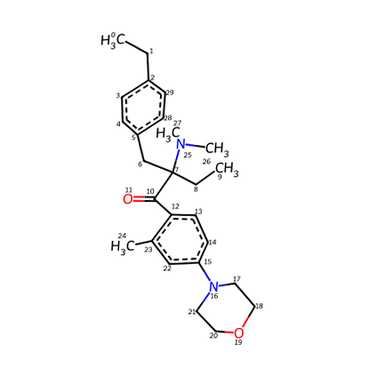 CCc1ccc(CC(CC)(C(=O)c2ccc(N3CCOCC3)cc2C)N(C)C)cc1